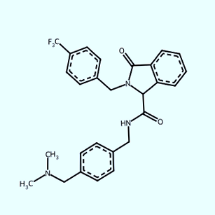 CN(C)Cc1ccc(CNC(=O)C2c3ccccc3C(=O)N2Cc2ccc(C(F)(F)F)cc2)cc1